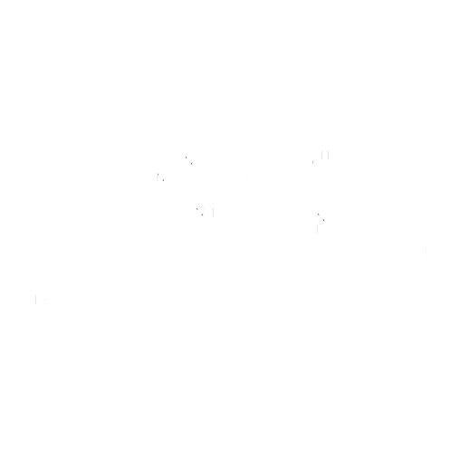 CCc1ccc(-c2nnc(SCC(=O)Nc3cc(F)ccc3C)[nH]2)cc1